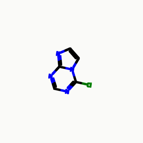 Clc1ncnc2nccn12